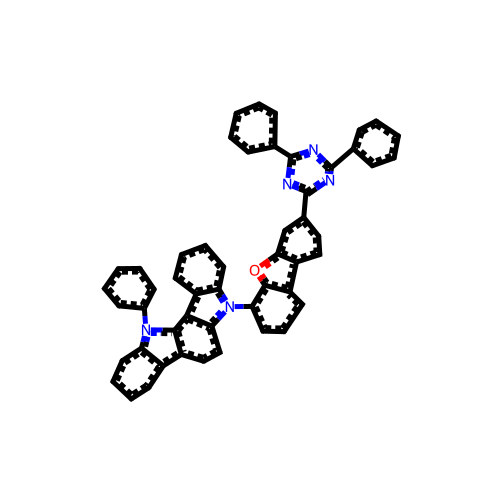 c1ccc(-c2nc(-c3ccccc3)nc(-c3ccc4c(c3)oc3c(-n5c6ccccc6c6c5ccc5c7ccccc7n(-c7ccccc7)c56)cccc34)n2)cc1